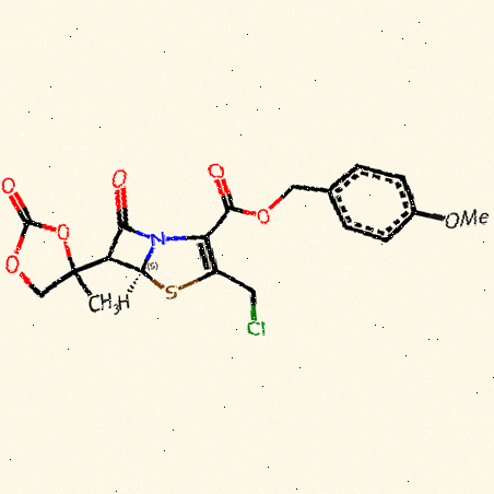 COc1ccc(COC(=O)C2=C(CCl)S[C@H]3C(C4(C)COC(=O)O4)C(=O)N23)cc1